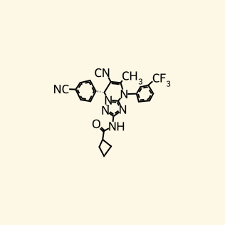 [C-]#[N+]C1=C(C)N(c2cccc(C(F)(F)F)c2)c2nc(NC(=O)C3CCC3)nn2[C@@H]1c1ccc(C#N)cc1